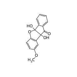 COc1ccc2c(c1)C1(O)C(=O)c3ccccc3C1(O)O2